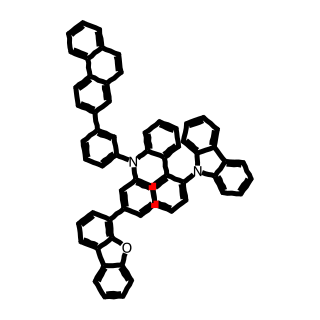 c1cc(-c2ccc3c(ccc4ccccc43)c2)cc(N(c2cccc(-c3cccc4c3oc3ccccc34)c2)c2ccccc2-c2ccccc2-n2c3ccccc3c3ccccc32)c1